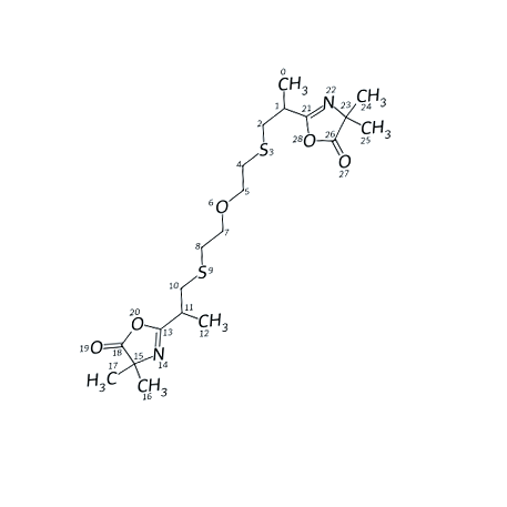 CC(CSCCOCCSCC(C)C1=NC(C)(C)C(=O)O1)C1=NC(C)(C)C(=O)O1